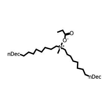 CCC(=O)[O-].CCCCCCCCCCCCCCCCCC[N+](C)(C)CCCCCCCCCCCCCCCCCC